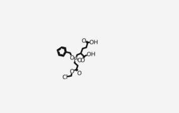 O=C(O)CCC(CP(=O)(CCC(=O)OCCl)OCc1ccccc1)C(=O)O